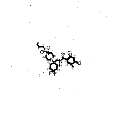 CCCS(=O)(=O)N1CCN(C2(CNC(=O)c3cc(F)c(Cl)cc3Cl)CCC(F)(F)CC2)CC1